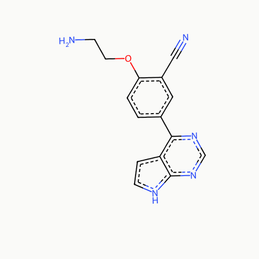 N#Cc1cc(-c2ncnc3[nH]ccc23)ccc1OCCN